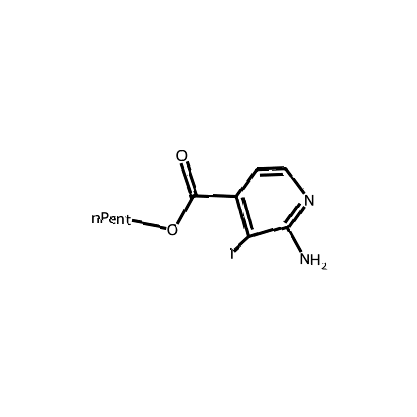 CCCCCOC(=O)c1ccnc(N)c1I